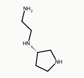 NCCN[C@H]1CCNC1